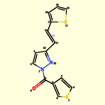 O=C(c1ccsc1)n1ccc(/C=C/c2cccs2)n1